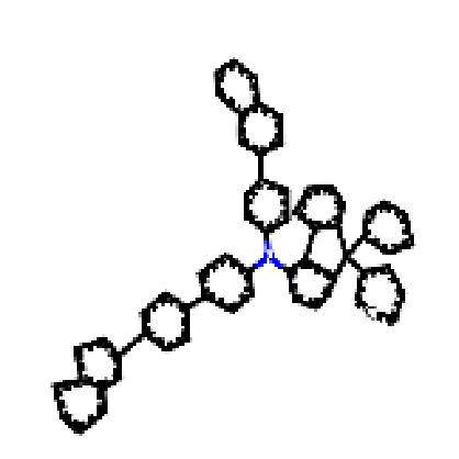 c1ccc(C2(c3ccccc3)c3ccccc3-c3c(N(c4ccc(-c5ccc(-c6ccc7ccccc7c6)cc5)cc4)c4ccc(-c5ccc6ccccc6c5)cc4)cccc32)cc1